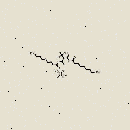 CCCCCCCCCCCCCCCCCC(=O)OC(C)C(C(C)OC(=O)CCCCCCCCCCCCCCCCC)C(C)(N)O.COS(=O)(=O)O